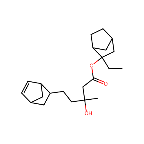 CCC1(OC(=O)CC(C)(O)CCC2CC3C=CC2C3)CC2CCC1C2